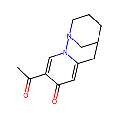 CC(=O)c1cn2c(cc1=O)CC1CCCN2C1